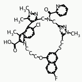 Cc1c(C(=O)O)n2c3ccc(Cl)c(c13)-c1c(nn(C)c1C)CN(C(=O)c1ccccn1)Cc1cc(n(C)n1)CSc1cc(c3ccc(F)cc3c1)OCCC2